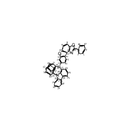 c1ccc(-c2nc3c(ccc4oc5cc(N(c6ccccc6)c6cccc7c8ccccc8n(-c8ccccc8)c67)ccc5c43)o2)cc1